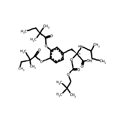 CCC(C)N[C@@](Cc1ccc(OC(=O)C(C)(C)CC)c(OC(=O)C(C)(C)CC)c1)(OC(=O)OCC(C)(C)C)C(=O)O